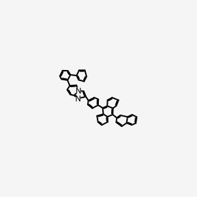 c1ccc(-c2ccccc2-c2ccc3nc(-c4ccc(-c5c6ccccc6c(-c6ccc7ccccc7c6)c6ccccc56)cc4)cn3c2)cc1